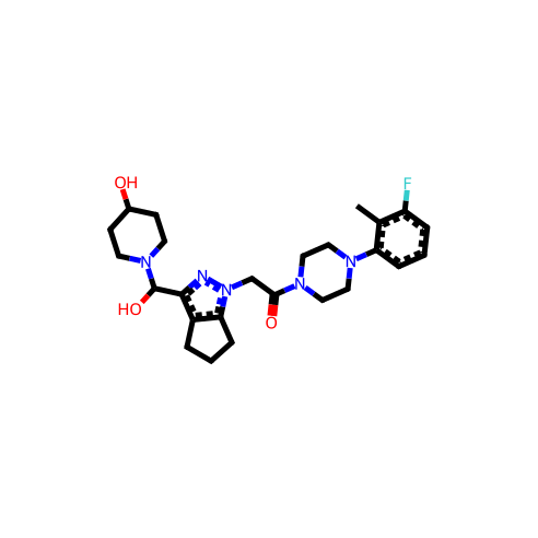 Cc1c(F)cccc1N1CCN(C(=O)Cn2nc(C(O)N3CCC(O)CC3)c3c2CCC3)CC1